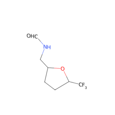 O=CNCC1CCC(C(F)(F)F)O1